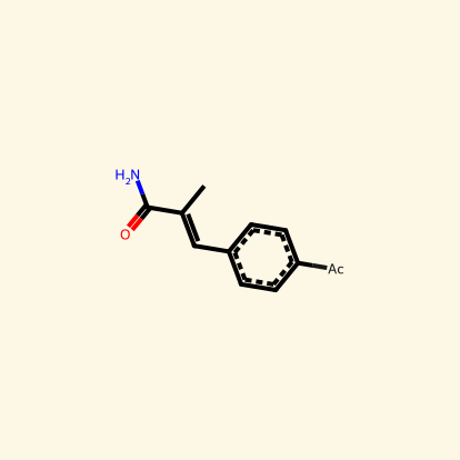 CC(=O)c1ccc(/C=C(\C)C(N)=O)cc1